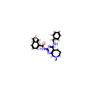 CN1CCCc2c(nc(NC(=O)c3cccc4cscc34)nc2NCc2ccccc2)C1